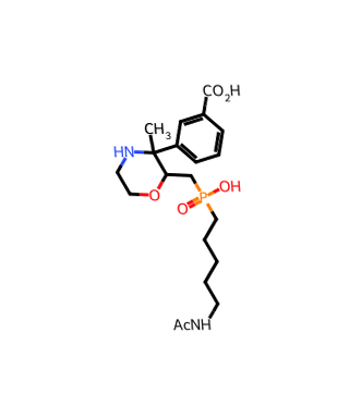 CC(=O)NCCCCCP(=O)(O)CC1OCCNC1(C)c1cccc(C(=O)O)c1